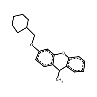 NC1c2ccccc2Oc2cc(OCC3CCCCC3)ccc21